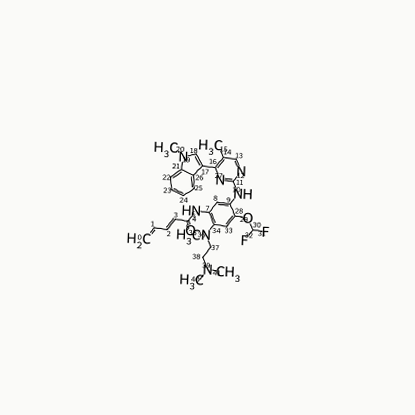 C=C/C=C/C(=O)Nc1cc(Nc2ncc(C)c(-c3cn(C)c4ccccc34)n2)c(OC(F)F)cc1N(C)CCN(C)C